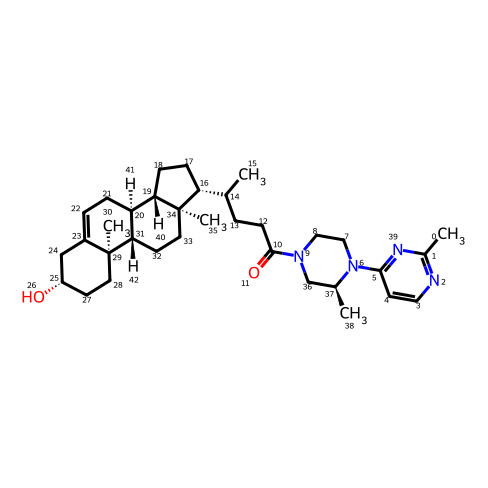 Cc1nccc(N2CCN(C(=O)CCC(C)[C@H]3CC[C@H]4[C@@H]5CC=C6C[C@@H](O)CC[C@]6(C)[C@H]5CC[C@]34C)C[C@@H]2C)n1